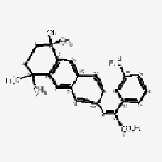 CC1(C)CCC(C)(C)c2cc3cc(/C=C(/C(=O)O)c4cccc(C(F)(F)F)c4)ccc3cc21